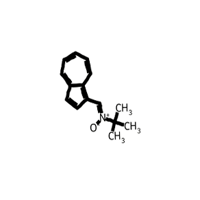 CC(C)(C)[N+]([O-])=Cc1ccc2cccccc1-2